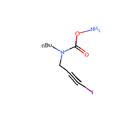 CCCCN(CC#CI)C(=O)ON